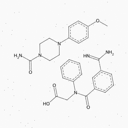 COc1ccc(N2CCN(C(N)=O)CC2)cc1.N=C(N)c1cccc(C(=O)N(CC(=O)O)c2ccccc2)c1